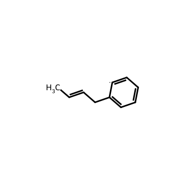 CC=CCc1[c]cccc1